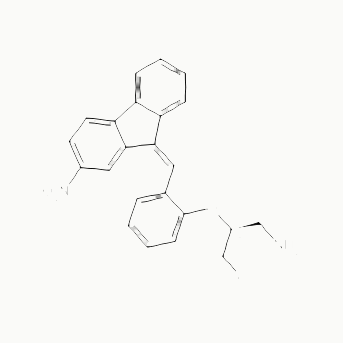 NC[C@@H](CCl)Oc1ccccc1C=C1c2ccccc2-c2ccc([N+](=O)[O-])cc21